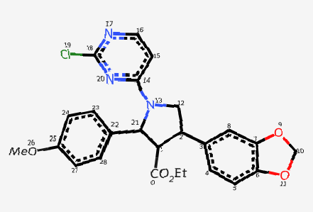 CCOC(=O)C1C(c2ccc3c(c2)OCO3)CN(c2ccnc(Cl)n2)C1c1ccc(OC)cc1